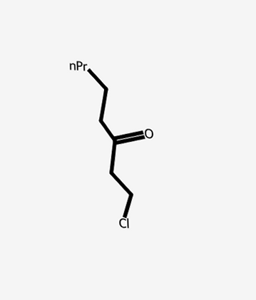 CCCCCC(=O)CCCl